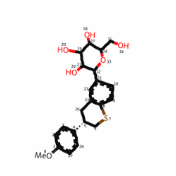 COc1ccc([C@H]2CSc3ccc(C4OC(CO)C(O)C(O)C4O)cc3C2)cc1